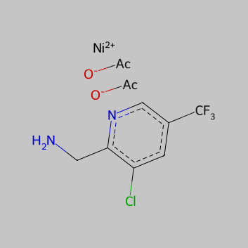 CC(=O)[O-].CC(=O)[O-].NCc1ncc(C(F)(F)F)cc1Cl.[Ni+2]